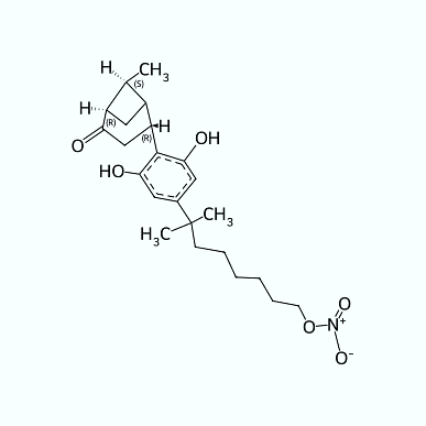 C[C@H]1C2C[C@H]1C(=O)C[C@H]2c1c(O)cc(C(C)(C)CCCCCCO[N+](=O)[O-])cc1O